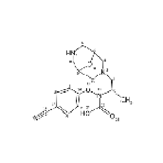 CC(CN1CC2CNCC(C1)O2)N(Oc1ccc(C#N)cc1)C(=O)O